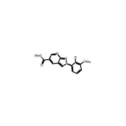 COC(=O)c1cnc2nn(-c3cccc(OC)c3Cl)cc2c1